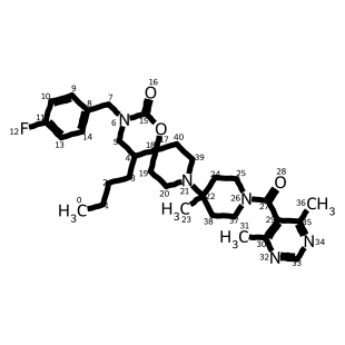 CCCCC1CN(Cc2ccc(F)cc2)C(=O)OC12CCN(C1(C)CCN(C(=O)c3c(C)ncnc3C)CC1)CC2